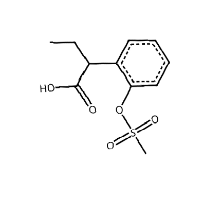 CCC(C(=O)O)c1ccccc1OS(C)(=O)=O